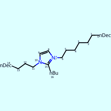 CCCCCCCCCCCCCCCC[n+]1ccn(CCCCCCCCCCCCC)c1CCCC